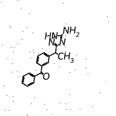 CC(c1cccc(C(=O)c2ccccc2)c1)c1n[nH]c(N)n1